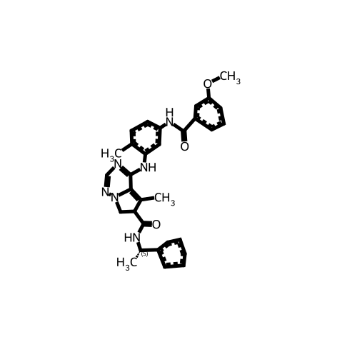 COc1cccc(C(=O)Nc2ccc(C)c(NC3=NC=NN4CC(C(=O)N[C@@H](C)c5ccccc5)C(C)=C34)c2)c1